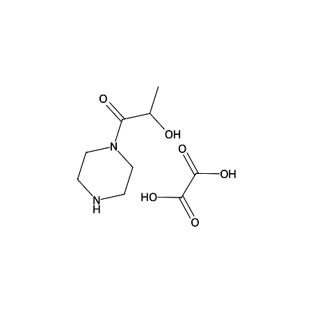 CC(O)C(=O)N1CCNCC1.O=C(O)C(=O)O